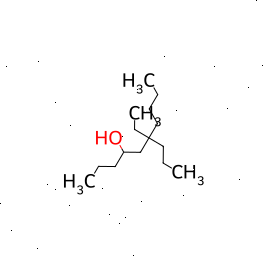 CCCCC(CC)(CCC)CC(O)CCC